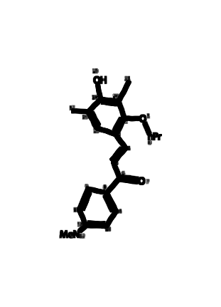 CCCOc1c(C=CC(=O)c2ccc(NC)cc2)cc(C)c(O)c1C